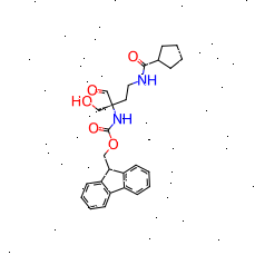 O=C[C@](CO)(CCNC(=O)C1CCCC1)NC(=O)OCC1c2ccccc2-c2ccccc21